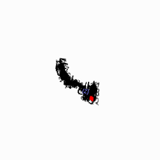 CCn1s/c(=N\C(=O)NCCc2ccc(-c3ncn(-c4ccc(OC(F)(F)F)cc4)n3)cc2)n(-c2ccccc2C(C)C)c1=O